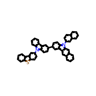 c1ccc2cc(-n3c4ccc(-c5ccc6c(c5)c5ccccc5n6-c5ccc6sc7ccccc7c6c5)cc4c4cc5ccccc5cc43)ccc2c1